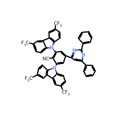 N#Cc1c(-n2c3ccc(C(F)(F)F)cc3c3cc(C(F)(F)F)ccc32)cc(-c2cc(-c3ccccc3)nc(-c3ccccc3)n2)cc1-n1c2ccc(C(F)(F)F)cc2c2cc(C(F)(F)F)ccc21